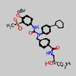 CCCCOc1ccc(NC(=O)N(Cc2ccc(C(=O)NC[C@@H](O)C(=O)O)cc2)c2ccc(C3CCCCC3)cc2)cc1S(C)(=O)=O